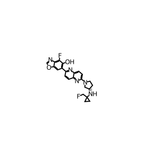 Oc1c(-c2ccc3nc(N4CC[C@H](NC5(CF)CC5)C4)ccc3n2)cc2ocnc2c1F